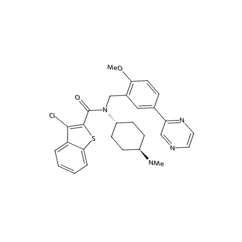 CN[C@H]1CC[C@H](N(Cc2cc(-c3cnccn3)ccc2OC)C(=O)c2sc3ccccc3c2Cl)CC1